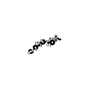 CCCS(=O)(=O)Nc1ccc(F)c(C(=O)Nc2cnc3[nH]c(-c4ccc(N5CCOCC5)nc4)nc3c2)c1F